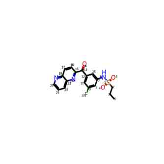 CCCS(=O)(=O)Nc1cc(F)cc(C(=O)c2ccc3ncccc3n2)c1